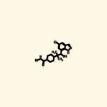 CCNC(=O)N1CCC(C(C)(C)C(O)c2cc(Cl)cc3cn[nH]c23)CC1